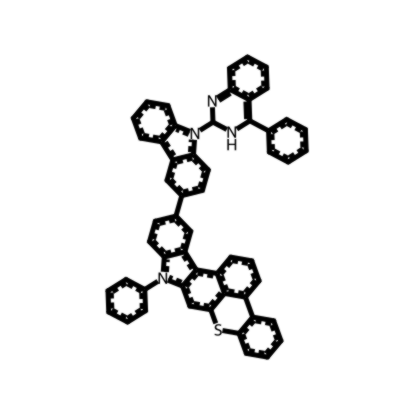 c1ccc(C2=c3ccccc3=NC(n3c4ccccc4c4cc(-c5ccc6c(c5)c5c7cccc8c7c(cc5n6-c5ccccc5)Sc5ccccc5-8)ccc43)N2)cc1